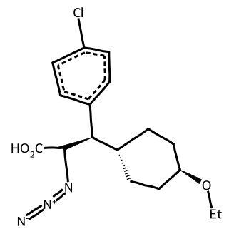 CCO[C@H]1CC[C@H]([C@H](c2ccc(Cl)cc2)C(N=[N+]=[N-])C(=O)O)CC1